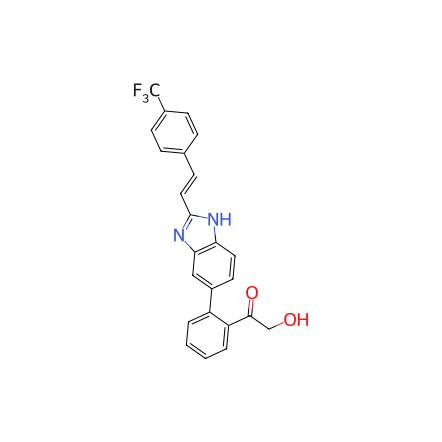 O=C(CO)c1ccccc1-c1ccc2[nH]c(C=Cc3ccc(C(F)(F)F)cc3)nc2c1